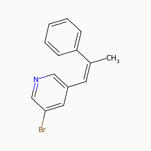 C/C(=C/c1cncc(Br)c1)c1ccccc1